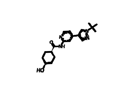 CC(C)(C)n1cc(-c2ccnc(NC(=O)[C@H]3CC[C@H](O)CC3)c2)cn1